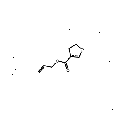 C=CCOC(=O)C1=COCC1